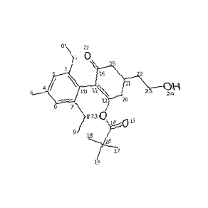 CCc1cc(C)cc(CC)c1C1=C(OC(=O)C(C)(C)C)CC(CCO)CC1=O